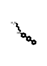 NCCCCCNc1ccc(-c2ccc(-c3ccccc3)cc2)cc1